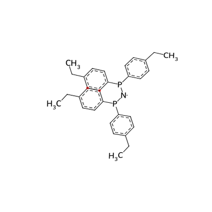 CCc1ccc(P([N]P(c2ccc(CC)cc2)c2ccc(CC)cc2)c2ccc(CC)cc2)cc1